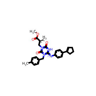 COC(=O)[C@@H](C)Cn1c(=O)[nH]/c(=N\c2ccc(C3=CCCC3)cc2)n(Cc2ccc(C)cc2)c1=O